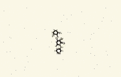 Cc1cc(OCc2c(F)cccc2F)c(Br)c(=O)n1Cc1cccnc1